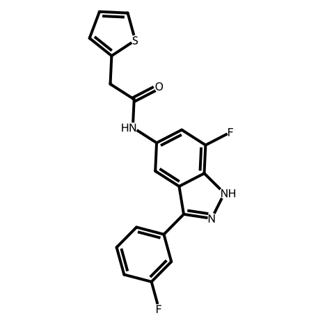 O=C(Cc1cccs1)Nc1cc(F)c2[nH]nc(-c3cccc(F)c3)c2c1